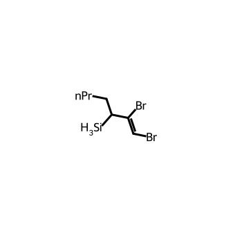 CCCCC([SiH3])C(Br)=CBr